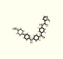 Cn1nccc1C(=O)Nc1ccc(C(=O)c2ccc(Nc3ccc(N4CCC(O)CC4)cc3)cc2)cc1